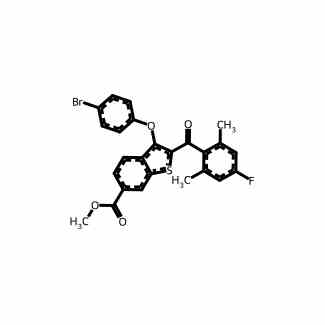 COC(=O)c1ccc2c(Oc3ccc(Br)cc3)c(C(=O)c3c(C)cc(F)cc3C)sc2c1